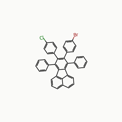 Clc1ccc(-c2c(-c3ccc(Br)cc3)c(-c3ccccc3)c3c(c2-c2ccccc2)-c2cccc4cccc-3c24)cc1